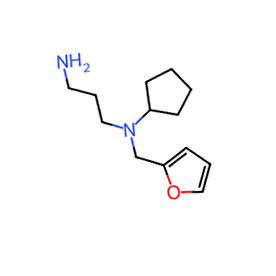 NCCCN(Cc1ccco1)C1CCCC1